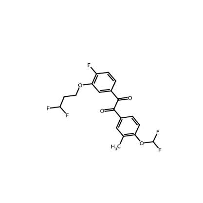 Cc1cc(C(=O)C(=O)c2ccc(F)c(OCCC(F)F)c2)ccc1OC(F)F